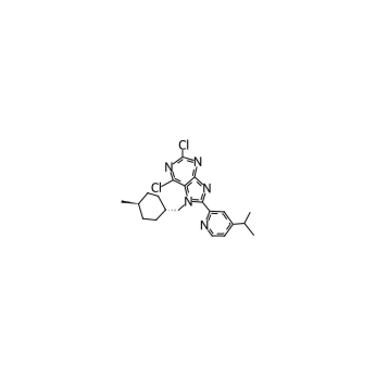 CC(C)c1ccnc(-c2nc3nc(Cl)nc(Cl)c3n2C[C@H]2CC[C@H](C)CC2)c1